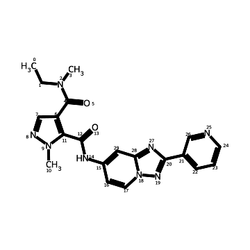 CCN(C)C(=O)c1cnn(C)c1C(=O)Nc1ccn2nc(-c3cccnc3)nc2c1